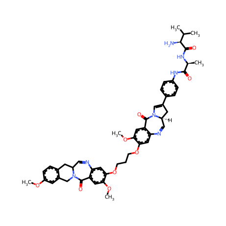 COc1ccc2c(c1)CN1C(=O)c3cc(OC)c(OCCCOc4cc5c(cc4OC)C(=O)N4C=C(c6ccc(NC(=O)[C@H](C)NC(=O)[C@@H](N)C(C)C)cc6)C[C@H]4C=N5)cc3N=CC1C2